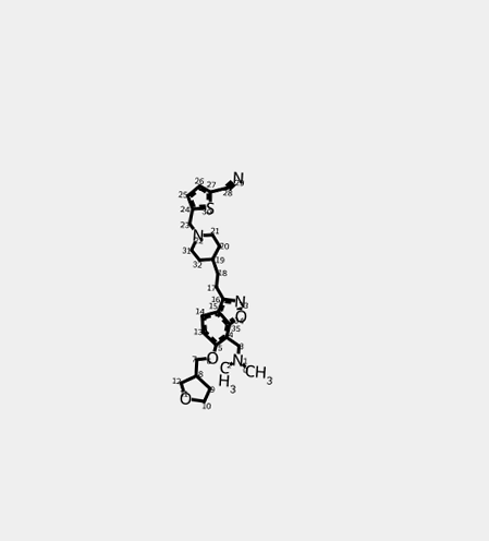 CN(C)Cc1c(OCC2CCOC2)ccc2c(CCC3CCN(Cc4ccc(C#N)s4)CC3)noc12